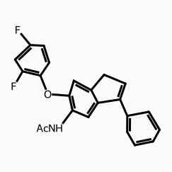 CC(=O)Nc1cc2c(cc1Oc1ccc(F)cc1F)CC=C2c1ccccc1